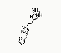 Nc1nc(CCc2cn(Cc3ccco3)nn2)c[nH]1